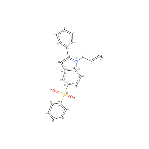 C=CCn1c(-c2ccccc2)cc2cc(S(=O)(=O)c3ccccc3)ccc21